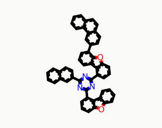 c1ccc2cc(-c3nc(-c4cccc5oc6ccccc6c45)nc(-c4cccc5oc6c(-c7ccc8ccc9ccccc9c8c7)cccc6c45)n3)ccc2c1